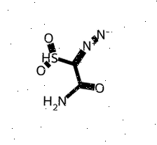 [N-]=[N+]=C(C(N)=O)[SH](=O)=O